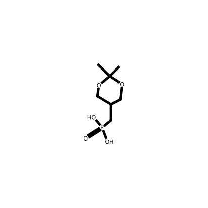 CC1(C)OCC(CP(=O)(O)O)CO1